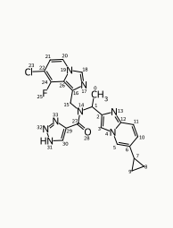 CC(c1cn2cc(C3CC3)ccc2n1)N(Cc1ncn2ccc(Cl)c(F)c12)C(=O)c1c[nH]nn1